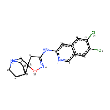 Clc1cc2cnc(NC3=NOC4(C3)CN3CCC4CC3)cc2cc1Cl